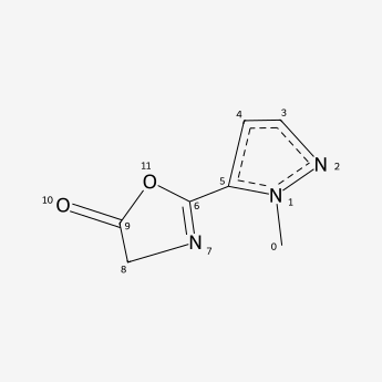 Cn1nccc1C1=NCC(=O)O1